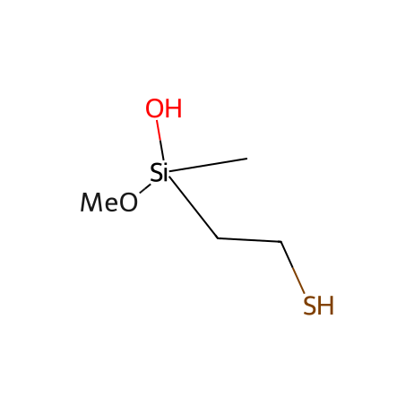 CO[Si](C)(O)CCS